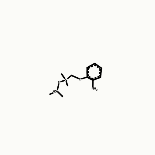 C[SiH](C)O[Si](C)(C)COc1ccccc1N